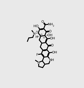 CCCN(C)[C@@H]1C(O)=C(C(N)=O)C(=O)[C@@]2(O)C(O)=C3C(=O)c4c(O)c5c(c(F)c4CC3C[C@@H]12)C1C(CCN1C)CN5